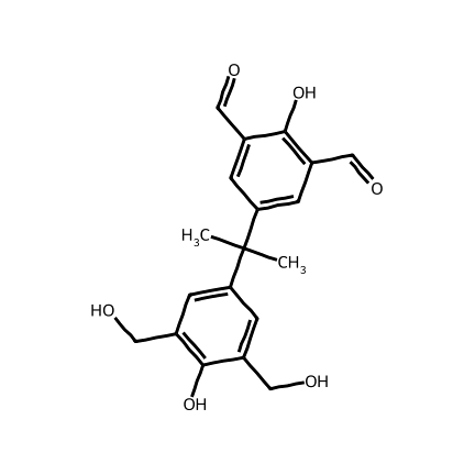 CC(C)(c1cc(C=O)c(O)c(C=O)c1)c1cc(CO)c(O)c(CO)c1